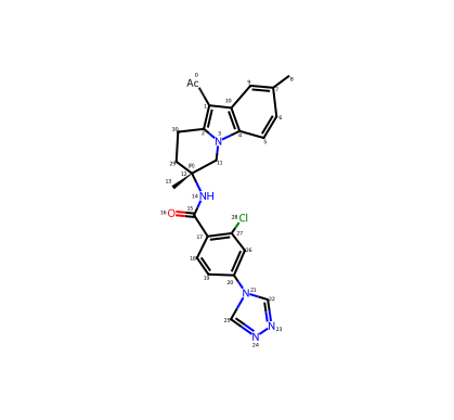 CC(=O)c1c2n(c3ccc(C)cc13)C[C@](C)(NC(=O)c1ccc(-n3cnnc3)cc1Cl)CC2